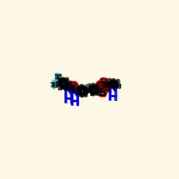 O=C(Nc1ccc(-c2ccc(S(=O)(=O)OC(=O)[C@@H]3CCCN3)cc2)cc1)Nc1ccc(F)c(F)c1